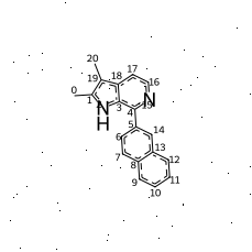 Cc1[nH]c2c(-c3ccc4ccccc4c3)nccc2c1C